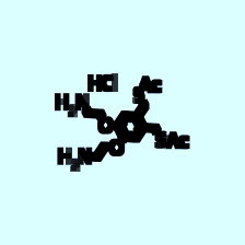 CC(=O)SCc1cc(OCCN)c(OCCN)cc1CSC(C)=O.Cl